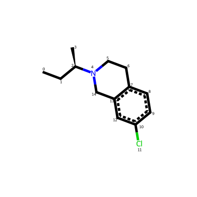 CC[C@@H](C)N1CCc2ccc(Cl)cc2C1